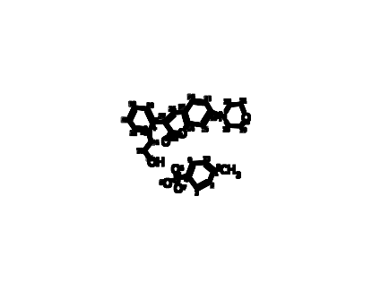 Cc1ccc(S(=O)(=O)[O-])cc1.O=c1oc2cc(N3CCOCC3)ccc2cc1-c1cccc[n+]1CCO